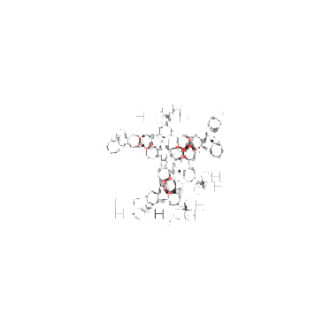 CC(C)(C)c1cc(-c2ccccc2)c(N2c3cc(-c4ccc5oc6ccccc6c5c4)ccc3B3c4ccc(-n5c6ccc(C(C)(C)C)cc6c6cc(C(C)(C)C)ccc65)cc4N(c4c(-c5ccccc5)cc(C(C)(C)C)cc4-c4ccccc4)c4cc(-c5ccc6c(c5)c5ccccc5n6-c5ccccc5)cc2c43)c(-c2ccccc2)c1